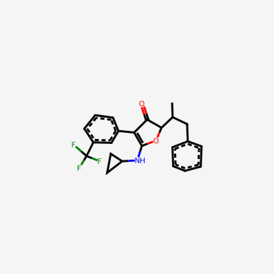 CC(Cc1ccccc1)C1OC(NC2CC2)=C(c2cccc(C(F)(F)F)c2)C1=O